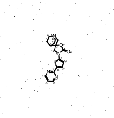 O=C1O[C@]2(CN3CCC2CC3)CN1c1ccc(-c2ncccn2)s1